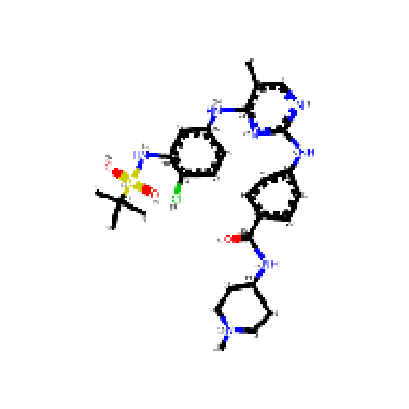 Cc1cnc(Nc2ccc(C(=O)NC3CCN(C)CC3)cc2)nc1Nc1ccc(Cl)c(NS(=O)(=O)C(C)(C)C)c1